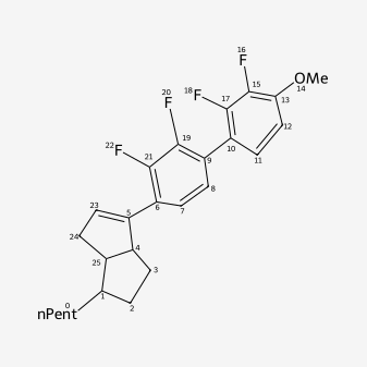 CCCCCC1CCC2C(c3ccc(-c4ccc(OC)c(F)c4F)c(F)c3F)=CCC12